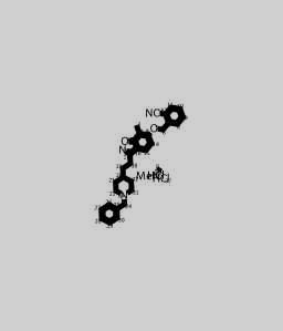 CNC.Cc1c(OCc2ccccc2C#N)ccc2c(CCC3CCN(Cc4ccccc4)CC3)noc12.Cl.Cl